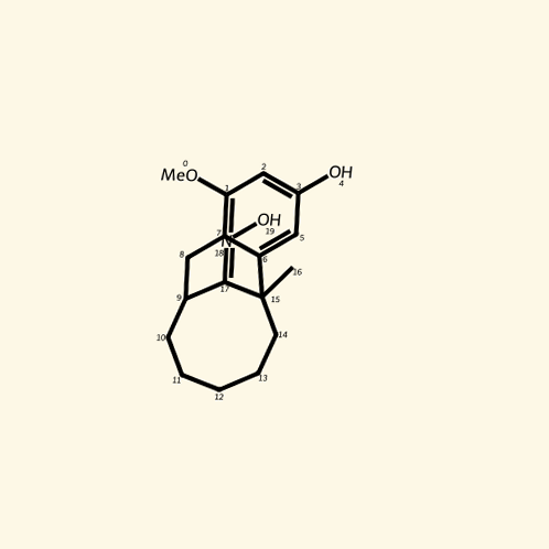 COc1cc(O)cc2c1CC1CCCCCC2(C)/C1=N\O